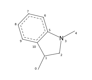 CC1CN(C)c2ccccc21